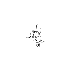 CC(C)(C)c1ccc(OP(O)OF)c(C(C)(C)C)c1